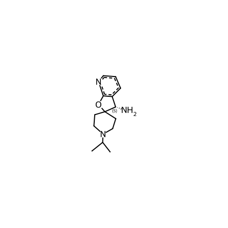 CC(C)N1CCC2(CC1)Oc1ncccc1[C@@H]2N